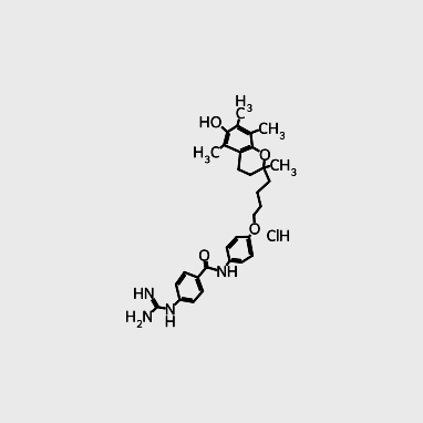 Cc1c(C)c2c(c(C)c1O)CCC(C)(CCCCOc1ccc(NC(=O)c3ccc(NC(=N)N)cc3)cc1)O2.Cl